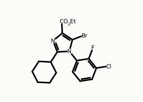 CCOC(=O)c1nc(C2CCCCC2)n(-c2cccc(Cl)c2F)c1Br